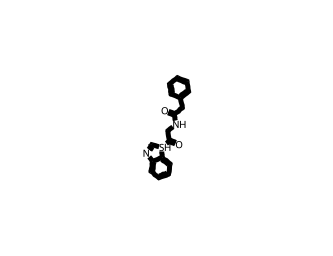 O=C(Cc1ccccc1)NCC(=O)[SH]1[C]=Nc2ccccc21